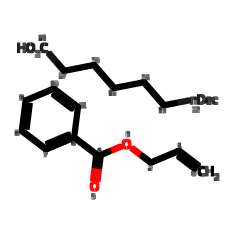 C=CCOC(=O)c1ccccc1.CCCCCCCCCCCCCCCC(=O)O